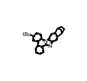 CC(C)(C)c1ccc2c(c1)c1ccccc1c1nc3cc4c(cc3n21)C1CCC4C1